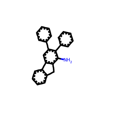 Nc1c2c(cc(-c3ccccc3)c1-c1ccccc1)-c1ccccc1C2